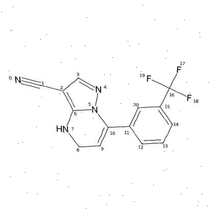 N#Cc1cnn2c1NCC=C2c1cccc(C(F)(F)F)c1